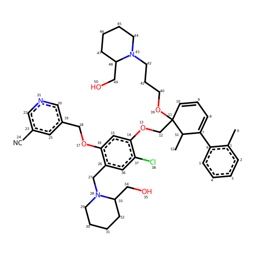 Cc1ccccc1C1=CC=CC(COc2cc(OCc3cncc(C#N)c3)c(CN3CCCCC3CO)cc2Cl)(OCCCN2CCCCC2CO)C1C